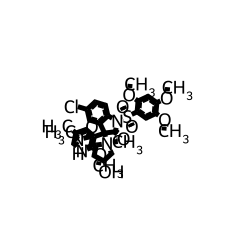 CNC(=O)[C@@H]1C[C@@H](O)C[N+]1(C)C1(c2cc(C)cnc2OC)C(=O)N(S(=O)(=O)c2cc(OC)c(OC)cc2OC)c2ccc(Cl)cc21